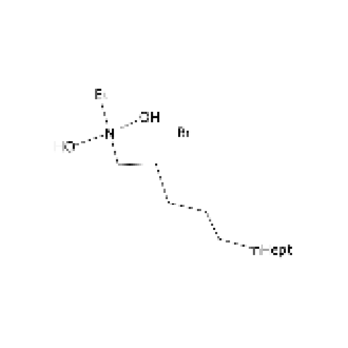 CCCCCCCCCCCC[N+](O)(O)CC.[Br-]